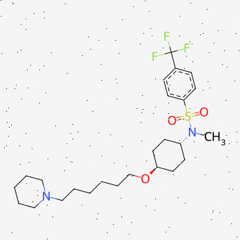 CN([C@H]1CC[C@H](OCCCCCCN2CCCCC2)CC1)S(=O)(=O)c1ccc(C(F)(F)F)cc1